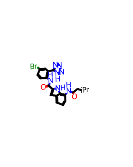 CC(C)CC(=O)Nc1cccc2cc(C(=O)Nc3ccc(Br)cc3-c3nnn[nH]3)[nH]c12